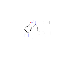 CN(C(=O)c1ccc(N)cc1)[C@@](C)(CCC(=O)O)C(=O)O